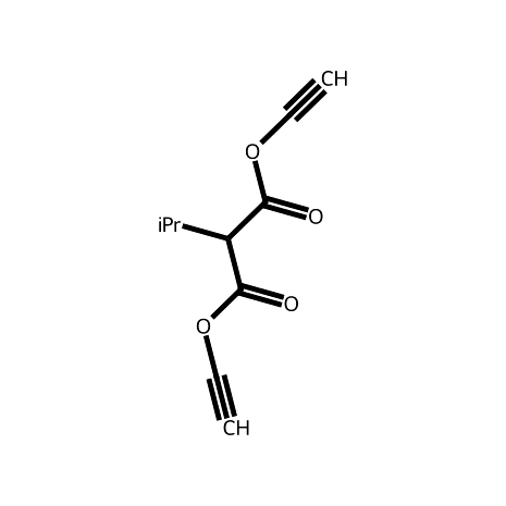 C#COC(=O)C(C(=O)OC#C)C(C)C